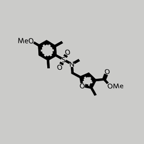 COC(=O)c1cc(CN(C)S(=O)(=O)c2c(C)cc(OC)cc2C)oc1C